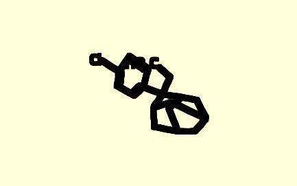 O=C(O)CC1(c2ccc(Cl)cc2)C2CC3CC(C2)CC1C3